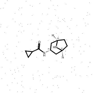 O=C(N[C@@H]1C[C@H]2CC[C@@H](C1)N2)C1CC1